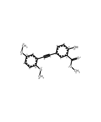 COC(=O)c1cc(C#Cc2cc(OC)ccc2OC)ccc1O